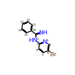 N=C(Nc1ccc(Br)cn1)c1ccccc1